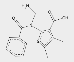 Cc1sc(N(CN)C(=O)c2ccccc2)c(C(=O)O)c1C